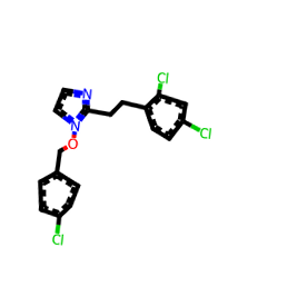 Clc1ccc(COn2ccnc2CCc2ccc(Cl)cc2Cl)cc1